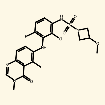 COC1CN(S(=O)(=O)Nc2ccc(F)c(Nc3ccc4ncn(C)c(=O)c4c3C)c2Cl)C1